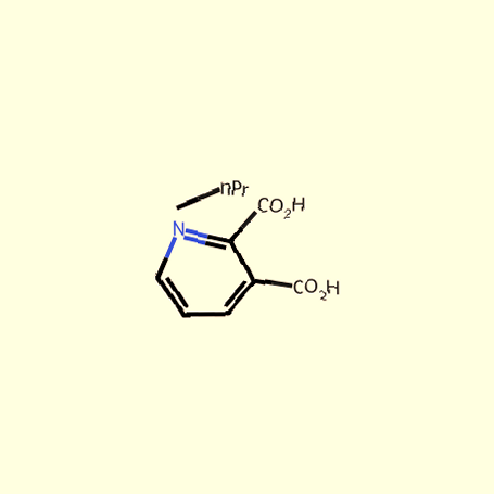 CCCC.O=C(O)c1cccnc1C(=O)O